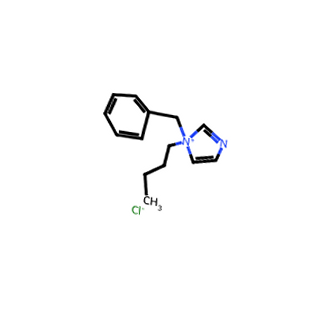 CCCC[N+]1(Cc2ccccc2)C=CN=C1.[Cl-]